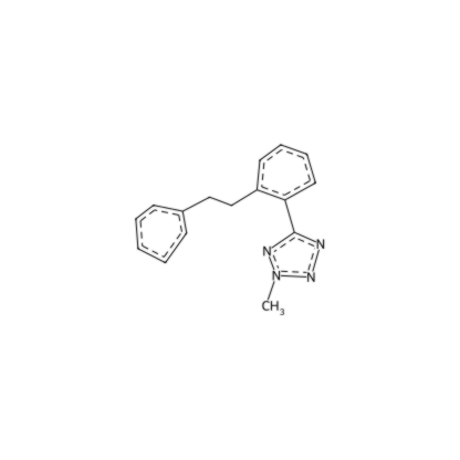 Cn1nnc(-c2ccccc2CCc2ccccc2)n1